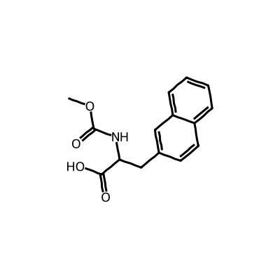 COC(=O)NC(Cc1ccc2ccccc2c1)C(=O)O